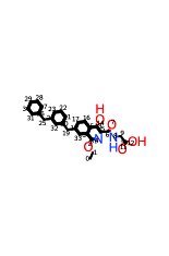 CCOc1nc(C(=O)NCC(=O)O)c(O)c2ccc(Cc3cccc(Cc4ccccc4)c3)cc12